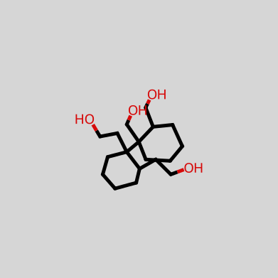 OCCC1CCCCC1(CCO)C1(CO)CCCCC1CO